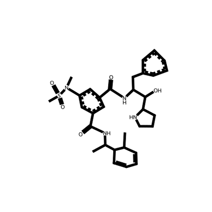 CC1C=CC=CC1C(C)NC(=O)c1cc(C(=O)NC(Cc2ccccc2)C(O)C2CCCN2)cc(N(C)S(C)(=O)=O)c1